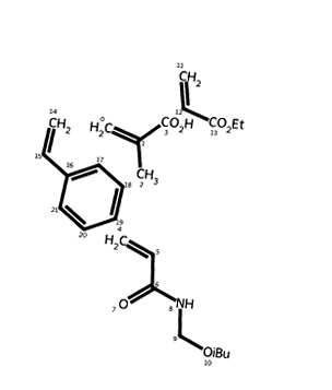 C=C(C)C(=O)O.C=CC(=O)NCOCC(C)C.C=CC(=O)OCC.C=Cc1ccccc1